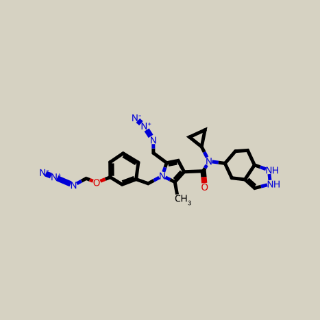 Cc1c(C(=O)N(C2CC2)C2CCC3NNC=C3C2)cc(CN=[N+]=[N-])n1Cc1cccc(OCN=[N+]=[N-])c1